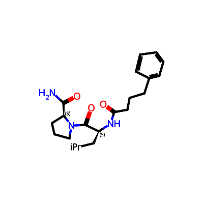 CC(C)C[C@H](NC(=O)CCCc1ccccc1)C(=O)N1CCC[C@H]1C(N)=O